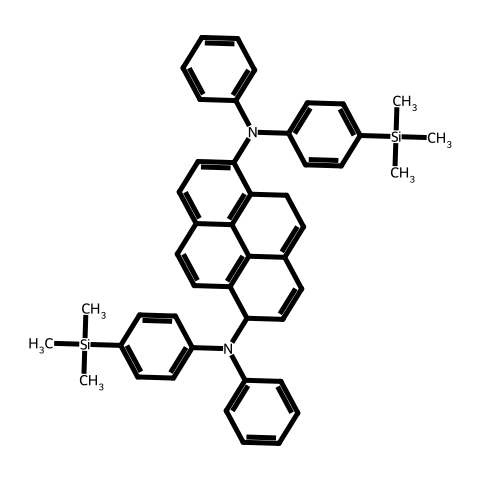 C[Si](C)(C)c1ccc(N(c2ccccc2)c2ccc3ccc4c5c3c2CC=C5C=CC4N(c2ccccc2)c2ccc([Si](C)(C)C)cc2)cc1